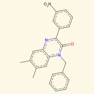 Cc1cc2nc(-c3cccc([N+](=O)[O-])c3)c(=O)n(Cc3ccccc3)c2cc1C